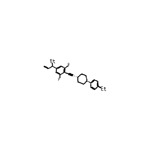 C=CC(CC)c1cc(F)c(C#C[C@H]2CC[C@H](c3ccc(CC)cc3)CC2)c(F)c1